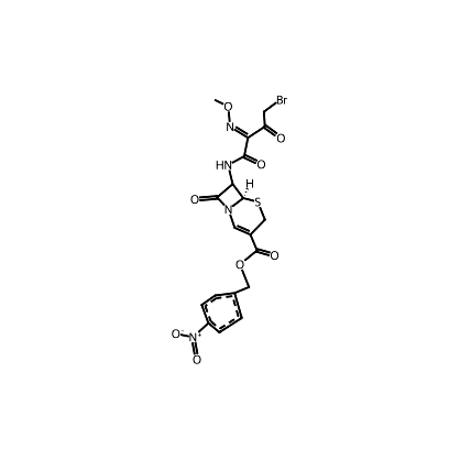 CON=C(C(=O)CBr)C(=O)NC1C(=O)N2C=C(C(=O)OCc3ccc([N+](=O)[O-])cc3)CS[C@H]12